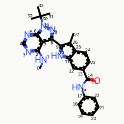 CNc1ncnc2c1c(-c1[nH]c3cc(C(=O)Nc4ccccc4)ccc3c1C)nn2C(C)(C)C